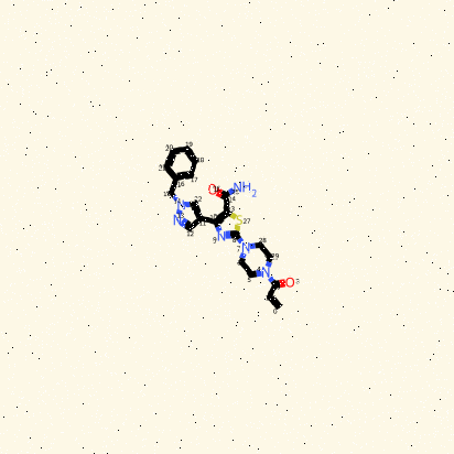 C=CC(=O)N1CCN(c2nc(-c3cnn(Cc4ccccc4)c3)c(C(N)=O)s2)CC1